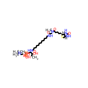 C=C[C@@H](O)C(CO[PH](O)(O)OCC[N+](C)(C)C)NC(=O)CCCCCCCCCCCNC(=O)CN(C)C(=O)CCCC[C@@H]1SC[C@H]2NC(=O)N[C@@H]12